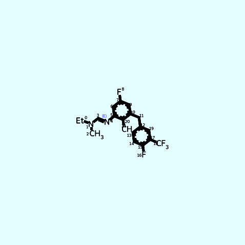 CCN(C)/C=N/c1cc(F)cc(Cc2ccc(F)c(C(F)(F)F)c2)c1C